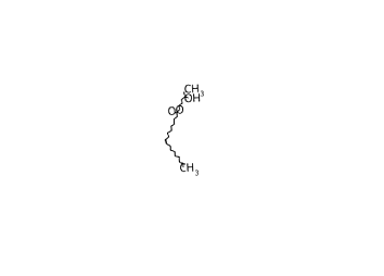 CCCCCCCC/C=C\CCCCCCCC(=O)OCCCC(O)CC